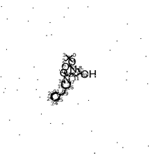 CC(C)(C)OC(=O)N1C[C@H](O)C[C@H]1C(=O)N1CCC(Cc2ccccc2)CC1